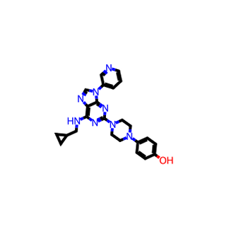 Oc1ccc(N2CCN(c3nc(NCC4CC4)c4ncn(-c5cccnc5)c4n3)CC2)cc1